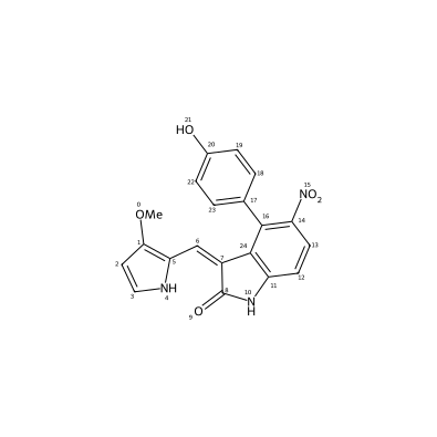 COc1cc[nH]c1C=C1C(=O)Nc2ccc([N+](=O)[O-])c(-c3ccc(O)cc3)c21